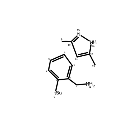 CC(C)(C)c1ccccc1CN.Cc1cc(C)[nH]n1